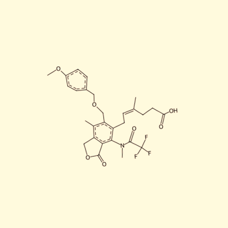 COc1ccc(COCc2c(C)c3c(c(N(C)C(=O)C(F)(F)F)c2CC=C(C)CCC(=O)O)C(=O)OC3)cc1